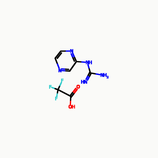 N=C(N)Nc1cnccn1.O=C(O)C(F)(F)F